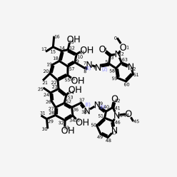 CON1C(=O)/C(=N\N=C\c2c(O)c(O)c(C(C)C)c3cc(C)c(-c4c(C)cc5c(C(C)C)c(O)c(O)c(/C=N/N=C6/C(=O)N(OC)c7ncccc76)c5c4O)c(O)c23)c2cccnc21